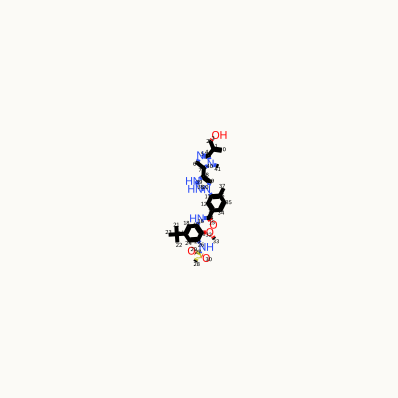 C=C(CO)C1=NCC(C2=CN(c3cc(C(=O)Nc4cc(C(C)(C)C)cc(NS(C)(=O)=O)c4OC)ccc3C)NN2)N1C